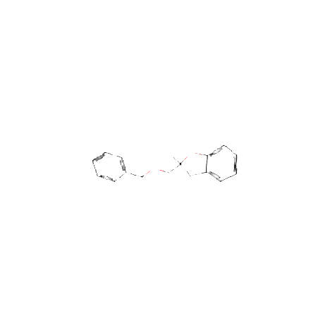 CCOC(=O)C1(COCc2ccccc2)Cc2ccccc2O1